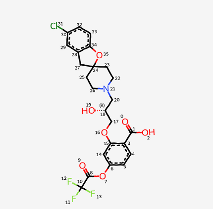 O=C(O)c1ccc(OC(=O)C(F)(F)F)cc1OC[C@H](O)CN1CCC2(CC1)Cc1cc(Cl)ccc1O2